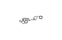 CCCCCCN1C(=O)CCc2ccc(OCCCN3CCC(Cc4ccccc4)CC3)cc21